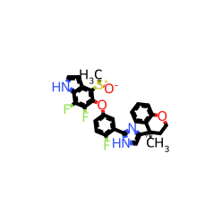 C[S+]([O-])c1c(Oc2ccc(F)c(-c3nc([C@]4(C)CCOc5ccccc54)c[nH]3)c2)c(F)c(F)c2[nH]ccc12